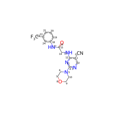 N#Cc1cnc(N2CCOCC2)nc1NCC(=O)Nc1cccc(C(F)(F)F)c1